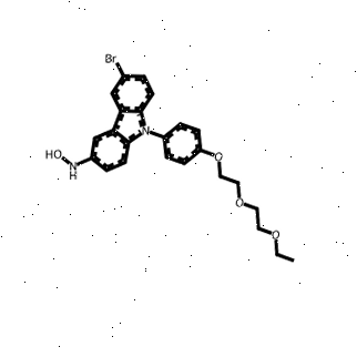 CCOCCOCCOc1ccc(-n2c3ccc(Br)cc3c3cc(NO)ccc32)cc1